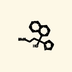 CNCC[C@@](O)(c1cccs1)c1cccc2ccccc12